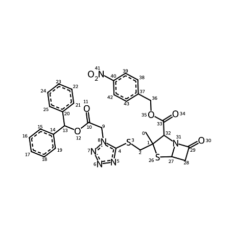 CC1(CSc2nnnn2CC(=O)OC(c2ccccc2)c2ccccc2)SC2CC(=O)N2C1C(=O)OCc1ccc([N+](=O)[O-])cc1